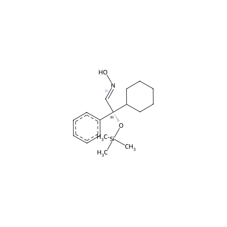 C[Si](C)(C)O[C@@](/C=N/O)(c1ccccc1)C1CCCCC1